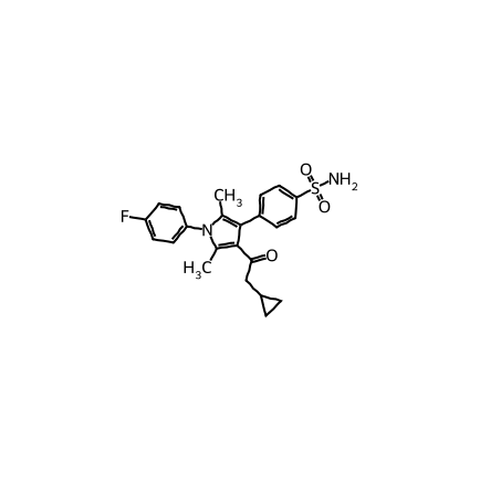 Cc1c(C(=O)CC2CC2)c(-c2ccc(S(N)(=O)=O)cc2)c(C)n1-c1ccc(F)cc1